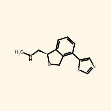 CNC[C@@H]1OCc2c(-c3cncs3)cccc21